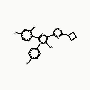 CCCc1c(-c2nnc(C3CCC3)o2)nc(-c2ccc(Cl)cc2Cl)n1-c1ccc(Br)cc1